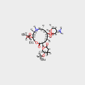 CC[C@H]1OC(=O)[C@H](C)[C@@H](OC2CC(C)(C)[C@@H](O[Si](C)(C)C(C)(C)C)[C@H](C)O2)[C@H](C)[C@@H](OC2C[C@@H](N(C)C)C[C@@H](C)O2)[C@](C)(O)C[C@@H](C)CN(C)[C@H](C)[C@@H](O[Si](C)(C)C(C)(C)C)[C@]1(C)O